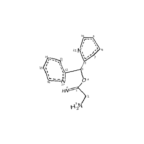 N=C(CN)OC(c1ccccn1)c1ccccn1